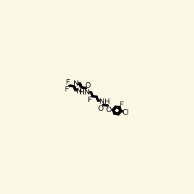 O=C(COc1ccc(Cl)c(F)c1)NCCC(F)CNC(=O)c1cnc(C(F)F)cn1